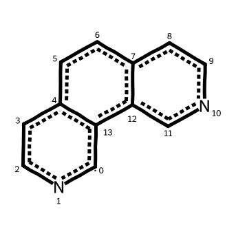 [c]1nccc2ccc3ccncc3c12